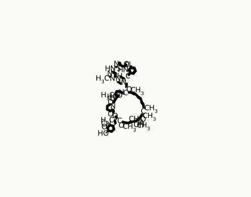 CO[C@@H]1C[C@@H](CC(C)[C@@H]2CC(=O)[C@H](C)/C=C(\C)[C@@H](O)[C@@H](OC)C(=O)[C@H](C)C[C@H](C)/C=C/C=C/C=C(/C)[C@H](OCCN3CCN(c4cc(Nc5ncc(C(=O)Nc6c(C)cccc6Cl)s5)nc(C)n4)CC3)C[C@@H]3CC[C@@H](C)[C@@](O)(O3)C(=O)C(=O)N3CCCCC3C(=O)O2)CC[C@H]1O